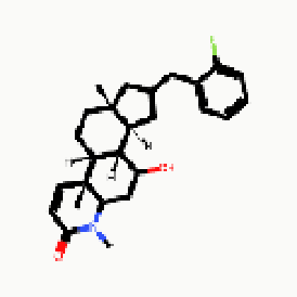 CN1C(=O)C=C[C@@]2(C)C1CC(O)[C@@H]1[C@H]2CC[C@]2(C)CC(Cc3ccccc3F)C[C@@H]12